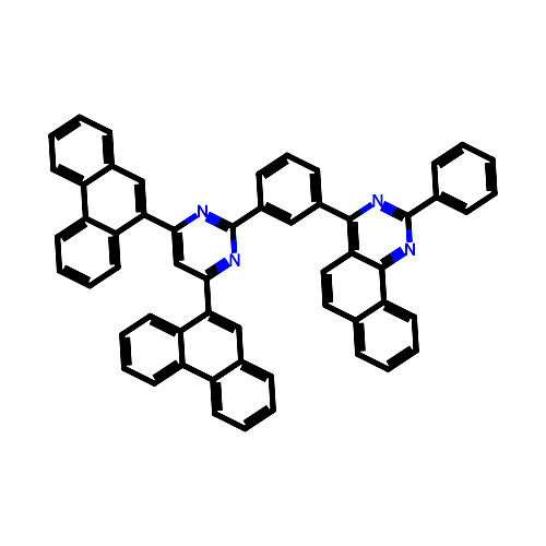 c1ccc(-c2nc(-c3cccc(-c4nc(-c5cc6ccccc6c6ccccc56)cc(-c5cc6ccccc6c6ccccc56)n4)c3)c3ccc4ccccc4c3n2)cc1